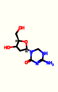 NC1=NC(=O)N([C@@H]2CC(O)[C@@H](CO)O2)CN1